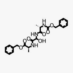 C[C@H](NC(=O)OCc1ccccc1)C(=O)NC(O)C(=O)N[C@@H](C)C(=O)OCc1ccccc1